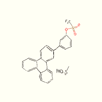 CS(=O)(=O)O.O=S(=O)(Oc1cccc(-c2ccc3c4ccccc4c4ccccc4c3c2)c1)C(F)(F)F